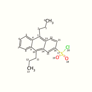 CCCc1c2ccccc2c(CCC)c2cc(S(=O)(=O)Cl)ccc12